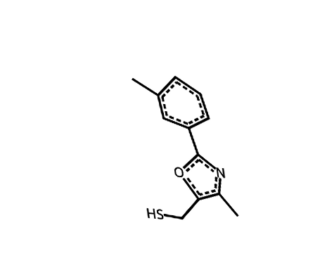 Cc1cccc(-c2nc(C)c(CS)o2)c1